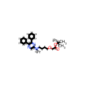 CC(C)N(CCCCOCC(=O)OC(C)(C)C(C)C)c1cnc(-c2ccccc2)c(-c2ccccc2)n1